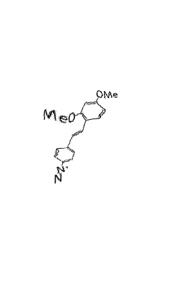 COc1ccc(C=Cc2ccc([N+]#N)cc2)c(OC)c1